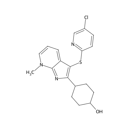 Cn1cccc2c(Sc3ccc(Cl)cn3)c(C3CCC(O)CC3)nc1-2